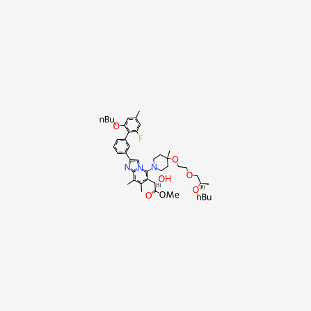 CCCCOc1cc(C)cc(F)c1-c1cccc(-c2cn3c(N4CCC(C)(OCCOC[C@@H](C)OCCCC)CC4)c([C@H](O)C(=O)OC)c(C)c(C)c3n2)c1